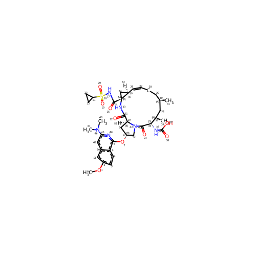 COc1ccc2c(O[C@@H]3C[C@H]4C(=O)N[C@]5(C(=O)NS(=O)(=O)C6CC6)C[C@H]5C=CCC[C@@H](C)C[C@@H](C)[C@H](NC(=O)O)C(=O)N4C3)nc(N(C)C)cc2c1